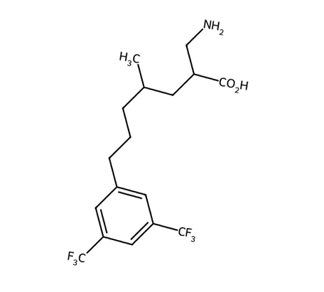 CC(CCCc1cc(C(F)(F)F)cc(C(F)(F)F)c1)CC(CN)C(=O)O